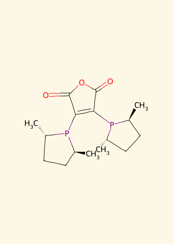 C[C@H]1CC[C@H](C)P1C1=C(P2[C@@H](C)CC[C@@H]2C)C(=O)OC1=O